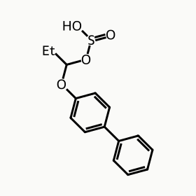 CCC(Oc1ccc(-c2ccccc2)cc1)OS(=O)O